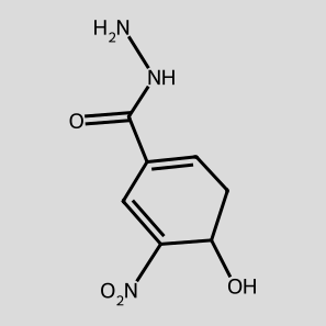 NNC(=O)C1=CCC(O)C([N+](=O)[O-])=C1